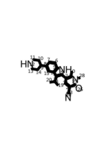 Cc1c(-c2[nH]c3ccc(C4CCNCC4)cc3c2C(C)C)cc(C#N)c(=O)n1C